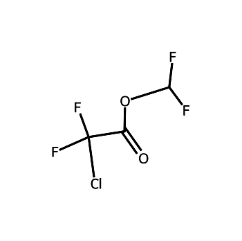 O=C(OC(F)F)C(F)(F)Cl